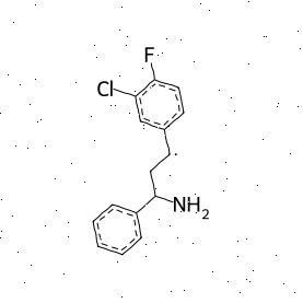 NC(C[CH]c1ccc(F)c(Cl)c1)c1ccccc1